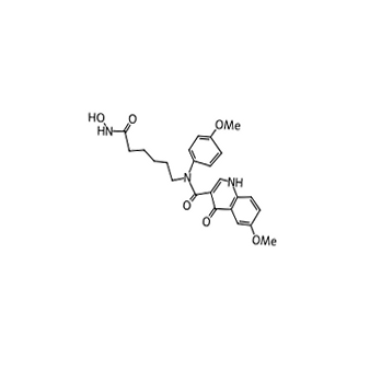 COc1ccc(N(CCCCCC(=O)NO)C(=O)c2c[nH]c3ccc(OC)cc3c2=O)cc1